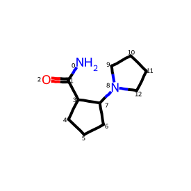 NC(=O)C1CCCC1N1CCCC1